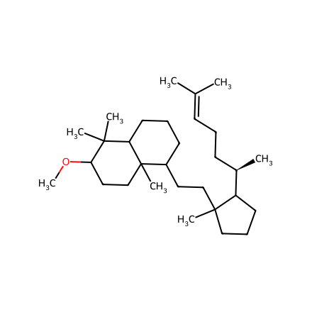 COC1CCC2(C)C(CCC3(C)CCCC3[C@H](C)CCC=C(C)C)CCCC2C1(C)C